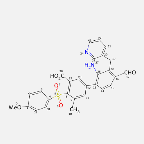 COc1ccc(S(=O)(=O)c2c(C)cc(-c3ccc(C=O)c(Cc4cccnc4)c3N)cc2C(=O)O)cc1